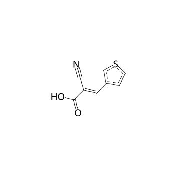 N#C/C(=C\c1ccsc1)C(=O)O